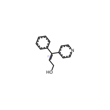 OC/C=C(/c1ccccc1)c1ccncc1